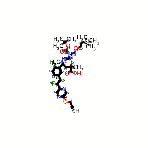 C#CCOc1cnc(/C(F)=C/c2ccc(F)c([C@]3(C)CC(C)(C(=O)O)SC(N(COCC[Si](C)(C)C)C(=O)OC(C)(C)C)=N3)c2)cn1